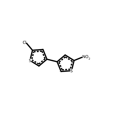 O=[N+]([O-])c1cc(-c2csc(Cl)c2)[c]s1